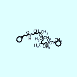 C=C(CCNC(=O)CCC1C2CCCCCCC21)CCC(C)OCC(C)(C)CCC(=C)C(C)CNC(=O)OC[C@@H]1C2CCCCCCC21C